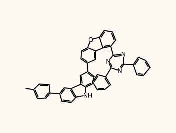 Cc1ccc(-c2ccc3[nH]c4ccc(-c5ccc6oc7cccc(-c8nc(-c9ccccc9)nc(-c9ccccc9)n8)c7c6c5)cc4c3c2)cc1